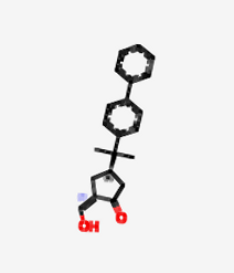 CC(C)(c1ccc(-c2ccccc2)cc1)[C@H]1CC(=O)/C(=C\O)C1